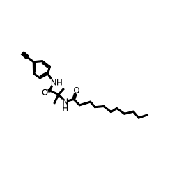 C#Cc1ccc(NC(=O)C(C)(C)NC(=O)CCCCCCCCCC)cc1